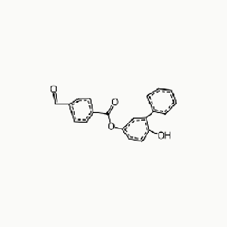 O=Cc1ccc(C(=O)Oc2ccc(O)c(-c3ccccc3)c2)cc1